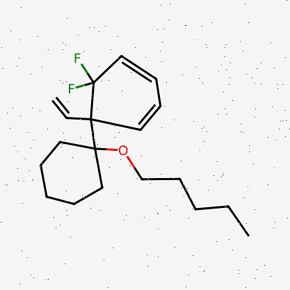 C=CC1(C2(OCCCCC)CCCCC2)C=CC=CC1(F)F